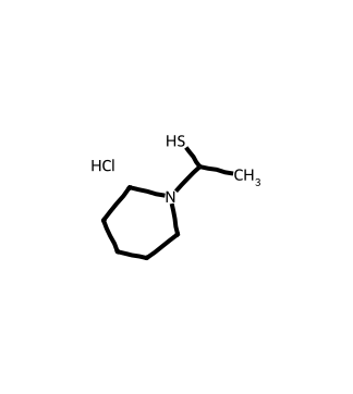 CC(S)N1CCCCC1.Cl